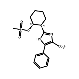 CS(=O)(=O)O[C@H]1CCCC[C@H]1c1nc(C(=O)O)c(-c2ccccc2)[nH]1